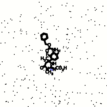 CN1C(=O)C[C@@](C)(c2ccc(F)c(NC(=O)OCc3ccccc3)c2F)N/C1=N\C(=O)O